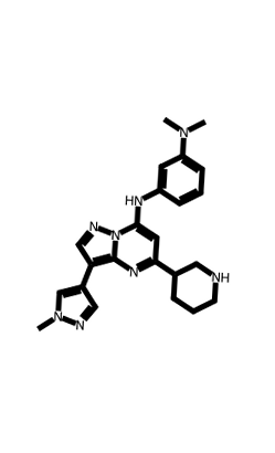 CN(C)c1cccc(Nc2cc(C3CCCNC3)nc3c(-c4cnn(C)c4)cnn23)c1